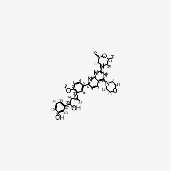 COc1ccc(-c2ccc3c(N4CCOCC4)nc(N4CC(C)OC(C)C4)nc3n2)cc1N(C)CC(O)c1cccc(O)c1